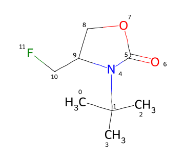 CC(C)(C)N1C(=O)OCC1CF